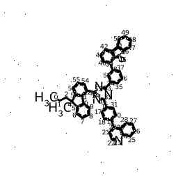 CCCC1(C)c2ccccc2-c2c(-c3nc(-c4ccc(-c5ccnc6ccccc56)cc4)nc(-c4cccc(-c5cccc6c5sc5ccccc56)c4)n3)cccc21